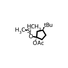 CC(=O)O[C@@]1(O[SiH](C)C)CC[C@H](C(C)(C)C)C1